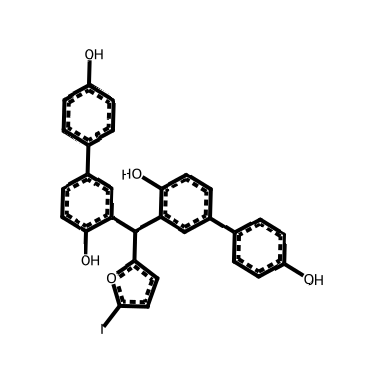 Oc1ccc(-c2ccc(O)c(C(c3ccc(I)o3)c3cc(-c4ccc(O)cc4)ccc3O)c2)cc1